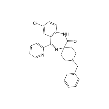 O=C1Nc2ccc(Cl)cc2C(c2ccccn2)=NC12CCN(Cc1ccccc1)CC2